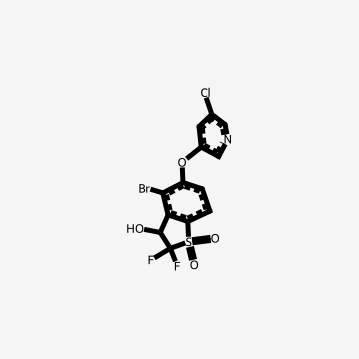 O=S1(=O)c2ccc(Oc3cncc(Cl)c3)c(Br)c2C(O)C1(F)F